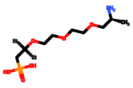 CCC(CC)(CP(=O)(O)O)OCCOCCOC[C@H](C)N